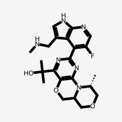 CNCc1c[nH]c2ncc(F)c(-c3nc4c(c(C(C)(C)O)n3)OCC3COC[C@@H](C)N43)c12